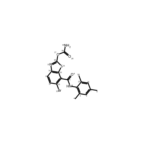 Cc1cc(C)c(NC(=O)c2c(Br)ccc3nc(OC(N)=O)sc23)c(C)c1